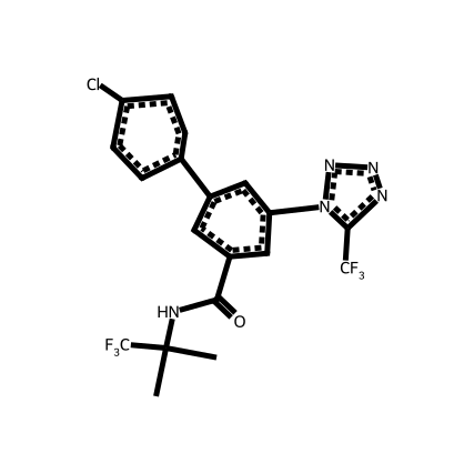 CC(C)(NC(=O)c1cc(-c2ccc(Cl)cc2)cc(-n2nnnc2C(F)(F)F)c1)C(F)(F)F